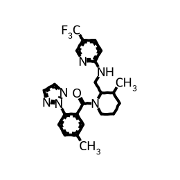 Cc1ccc(-n2nccn2)c(C(=O)N2CCCC(C)C2CNc2ccc(C(F)(F)F)cn2)c1